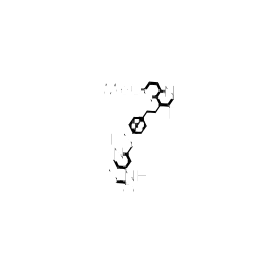 COc1ccc2ncc(F)c(CCC34CCC(NCc5cc6[nH]c(=O)cnc6cn5)(CC3)CO4)c2n1